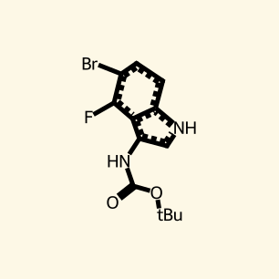 CC(C)(C)OC(=O)Nc1c[nH]c2ccc(Br)c(F)c12